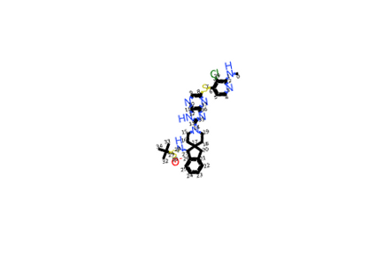 CNc1nccc(Sc2cnc3[nH]c(N4CCC5(CC4)Cc4ccccc4[C@H]5N[S@+]([O-])C(C)(C)C)nc3n2)c1Cl